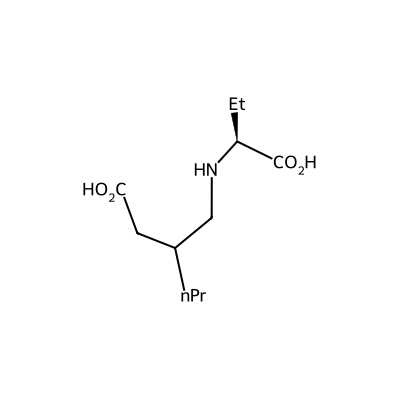 CCCC(CN[C@@H](CC)C(=O)O)CC(=O)O